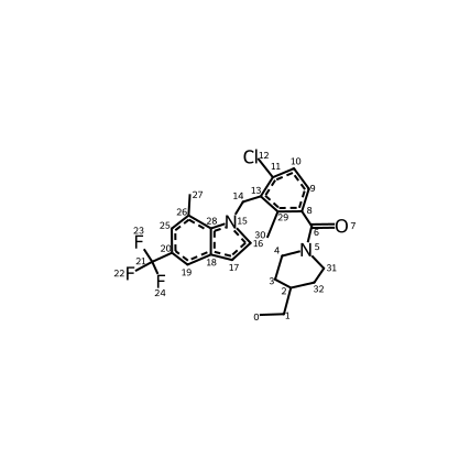 CCC1CCN(C(=O)c2ccc(Cl)c(Cn3ccc4cc(C(F)(F)F)cc(C)c43)c2C)CC1